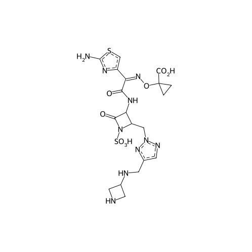 Nc1nc(/C(=N/OC2(C(=O)O)CC2)C(=O)NC2C(=O)N(S(=O)(=O)O)C2Cn2ncc(CNC3CNC3)n2)cs1